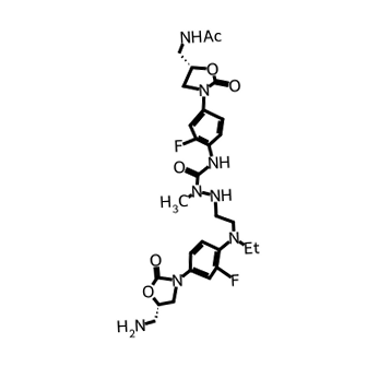 CCN(CCNN(C)C(=O)Nc1ccc(N2C[C@H](CNC(C)=O)OC2=O)cc1F)c1ccc(N2C[C@H](CN)OC2=O)cc1F